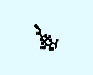 C#CCNC1=N[C@@H]2[C@@H](O)[C@H](O)C(C(F)F)O[C@@H]2S1